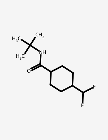 CC(C)(C)NC(=O)C1CCC(C(F)F)CC1